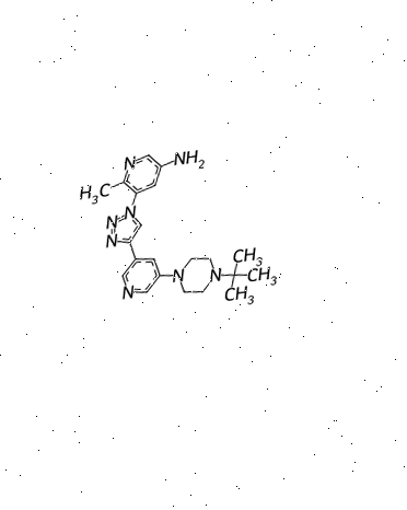 Cc1ncc(N)cc1-n1cc(-c2cncc(N3CCN(C(C)(C)C)CC3)c2)nn1